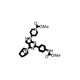 COC(=O)Nc1ccc(-c2nc(N3CC4CCC(C3)O4)c3cnn(C4CCN(C(=O)OC)CC4)c3n2)cc1